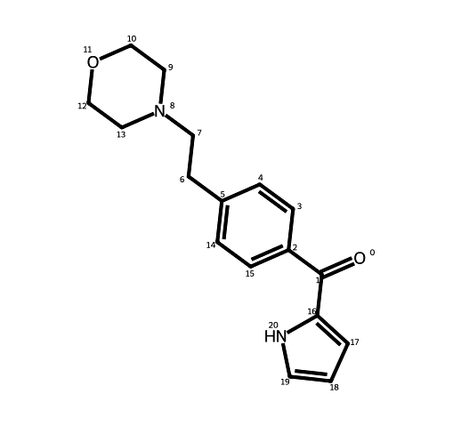 O=C(c1ccc(CCN2CCOCC2)cc1)c1ccc[nH]1